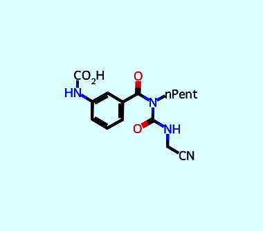 CCCCCN(C(=O)NCC#N)C(=O)c1cccc(NC(=O)O)c1